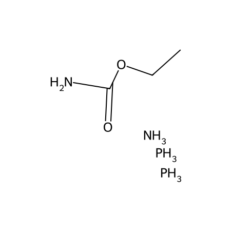 CCOC(N)=O.N.P.P